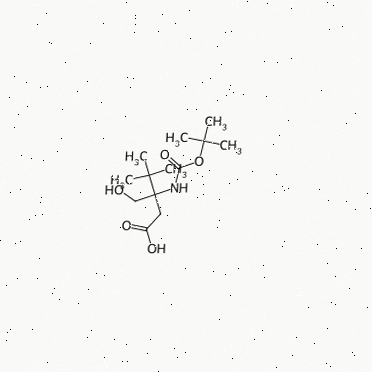 CC(C)(C)OC(=O)NC(CO)(CC(=O)O)C(C)(C)C